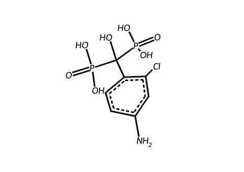 Nc1ccc(C(O)(P(=O)(O)O)P(=O)(O)O)c(Cl)c1